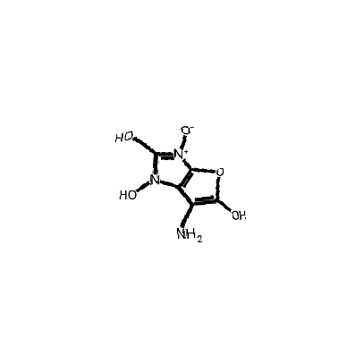 Nc1c(O)oc2c1n(O)c(O)[n+]2[O-]